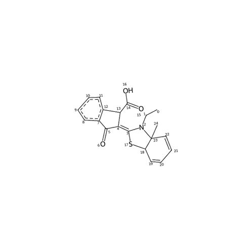 CCN1/C(=C2/C(=O)c3ccccc3C2C(=O)O)SC2C=CC=CC21C